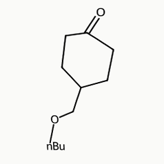 CCCCOCC1CCC(=O)CC1